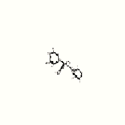 O=C(ON1CCCC1)c1ccccc1